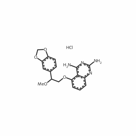 COC(COc1cccc2nc(N)nc(N)c12)c1ccc2c(c1)OCO2.Cl